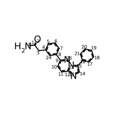 NC(=O)Cc1cccc(-c2ccc3ncc(-c4ccccc4)n3n2)c1